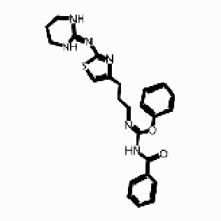 O=C(N/C(=N/CCCc1csc(N=C2NCCCN2)n1)Oc1ccccc1)c1ccccc1